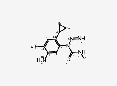 CNC(=O)N(N=N)c1cc(N)c(F)cc1C1CC1